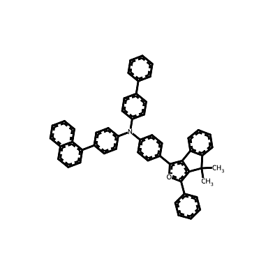 CC1(C)c2ccccc2-c2c(-c3ccc(N(c4ccc(-c5ccccc5)cc4)c4ccc(-c5cccc6ccccc56)cc4)cc3)oc(-c3ccccc3)c21